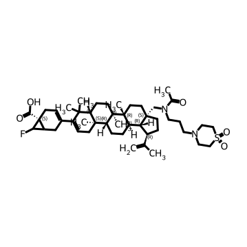 C=C(C)[C@@H]1CC[C@]2(CN(CCCN3CCS(=O)(=O)CC3)C(C)=O)CC[C@]3(C)[C@H](CC[C@@H]4[C@@]5(C)CC=C(C6=CC[C@]7(C(=O)O)C(F)C7C6)C(C)(C)[C@@H]5CC[C@]43C)[C@@H]12